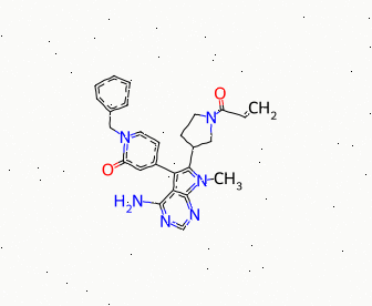 C=CC(=O)N1CCC(c2c(-c3ccn(Cc4ccccc4)c(=O)c3)c3c(N)ncnc3n2C)C1